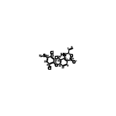 C=CCNc1c([N+](=O)[O-])ccc(Oc2cc(Cl)c(SC)cc2Cl)c1Cl